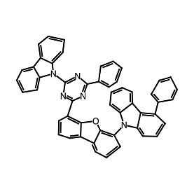 c1ccc(-c2nc(-c3cccc4c3oc3c(-n5c6ccccc6c6c(-c7ccccc7)cccc65)cccc34)nc(-n3c4ccccc4c4ccccc43)n2)cc1